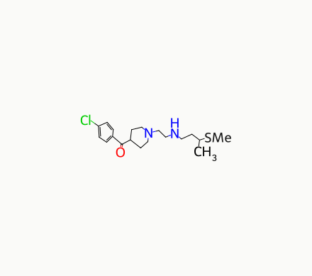 CSC(C)CCNCCN1CCC(C(=O)c2ccc(Cl)cc2)CC1